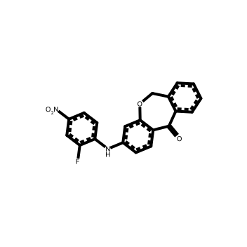 O=C1c2ccccc2COc2cc(Nc3ccc([N+](=O)[O-])cc3F)ccc21